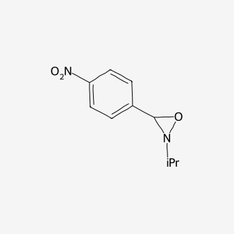 CC(C)N1OC1c1ccc([N+](=O)[O-])cc1